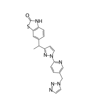 CC(c1ccc2[nH]c(=O)sc2c1)c1ccn(-c2ccc(Cn3ccnn3)cn2)n1